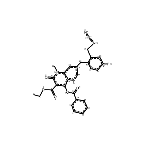 CCOC(=O)c1c(OC(=O)c2ccccc2)c2ncc(Cc3ccc(F)cc3CN=[N+]=[N-])cc2n(C)c1=O